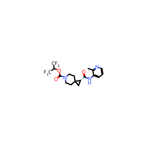 Cc1ncccc1NC(=O)[C@@H]1CC12CCN(C(=O)OC(C(F)(F)F)C(F)(F)F)CC2